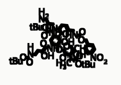 CN(C(=O)OC(C)(C)C)[C@@H]1[C@@H](O)[C@@H](O[C@@H]2[C@@H](O)[C@H](C3OC(CNC(=O)OCc4ccc([N+](=O)[O-])cc4)=CC[C@H]3NCCCN)[C@@H](NC(=O)OC(C)(C)C)C[C@H]2NC(=O)[C@@H](O)CCNC(=O)OC(C)(C)C)OC[C@]1(C)O